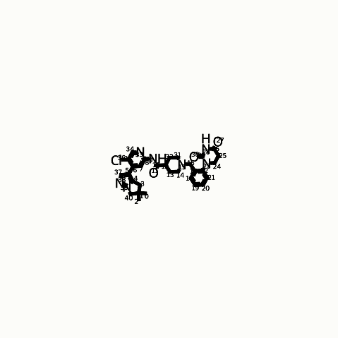 CC1(C)Cc2c(-c3cc(NC(=O)C4CCN(Cc5ccccc5N5CCC(=O)NC5=O)CC4)ncc3Cl)cnn2C1